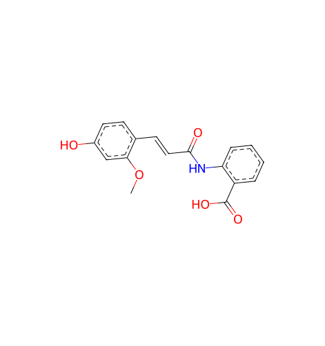 COc1cc(O)ccc1C=CC(=O)Nc1ccccc1C(=O)O